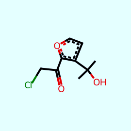 CC(C)(O)c1ccoc1C(=O)CCl